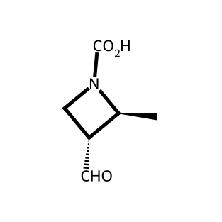 C[C@H]1[C@H](C=O)CN1C(=O)O